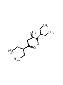 C=C(CC(=O)C(CC)CC)C(=O)C(CC)CC